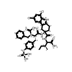 CC[C@H](C)C(NC(=O)[C@@]1(NC(=O)[C@H](Cc2ccc(OP(=O)(O)O)cc2)N(Cc2ccccc2)C(=O)O)CCc2[nH]c3c(Cl)cc(Cl)cc3c2C1)C(N)=O